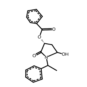 CC(c1ccccc1)N1C(=O)[C@H](OC(=O)c2ccccc2)CC1O